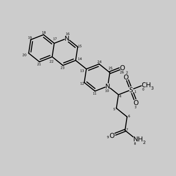 CS(=O)(=O)C(CCC(N)=O)n1ccc(-c2cnc3ccccc3c2)cc1=O